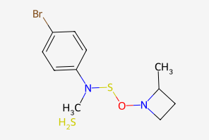 CC1CCN1OSN(C)c1ccc(Br)cc1.S